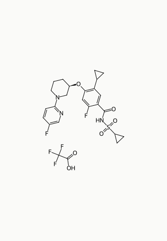 O=C(NS(=O)(=O)C1CC1)c1cc(C2CC2)c(O[C@@H]2CCCN(c3ccc(F)cn3)C2)cc1F.O=C(O)C(F)(F)F